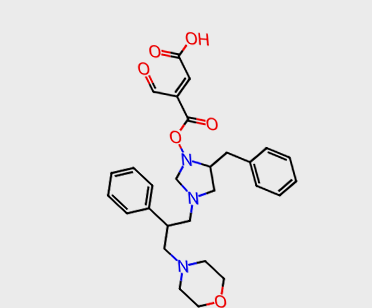 O=C/C(=C\C(=O)O)C(=O)ON1CN(CC(CN2CCOCC2)c2ccccc2)CC1Cc1ccccc1